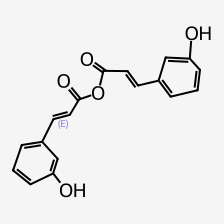 O=C(C=Cc1cccc(O)c1)OC(=O)/C=C/c1cccc(O)c1